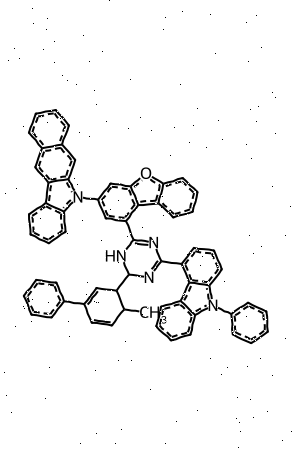 CC1C=CC(c2ccccc2)=CC1C1N=C(c2cccc3c2c2ccccc2n3-c2ccccc2)N=C(c2cc(-n3c4ccccc4c4cc5ccccc5cc43)cc3oc4ccccc4c23)N1